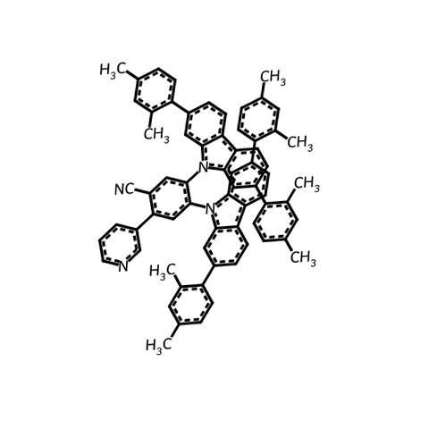 Cc1ccc(-c2ccc3c4ccc(-c5ccc(C)cc5C)cc4n(-c4cc(C#N)c(-c5cccnc5)cc4-n4c5cc(-c6ccc(C)cc6C)ccc5c5ccc(-c6ccc(C)cc6C)cc54)c3c2)c(C)c1